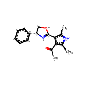 COC(=O)c1c(C)[nH]c(C)c1C1=N[C@H](c2ccccc2)CO1